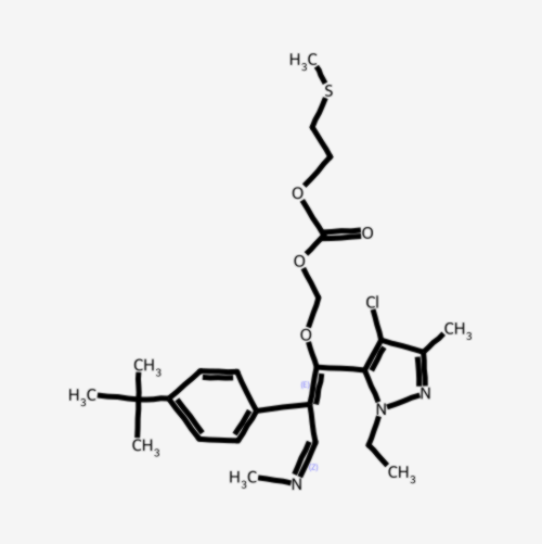 CCn1nc(C)c(Cl)c1/C(OCOC(=O)OCCSC)=C(\C=N/C)c1ccc(C(C)(C)C)cc1